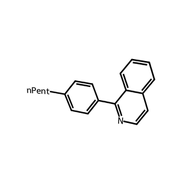 CCCCCc1ccc(-c2nccc3ccccc23)cc1